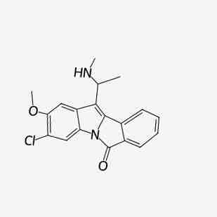 CNC(C)c1c2n(c3cc(Cl)c(OC)cc13)C(=O)c1ccccc1-2